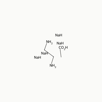 CC(=O)O.NCCN.[NaH].[NaH].[NaH].[NaH]